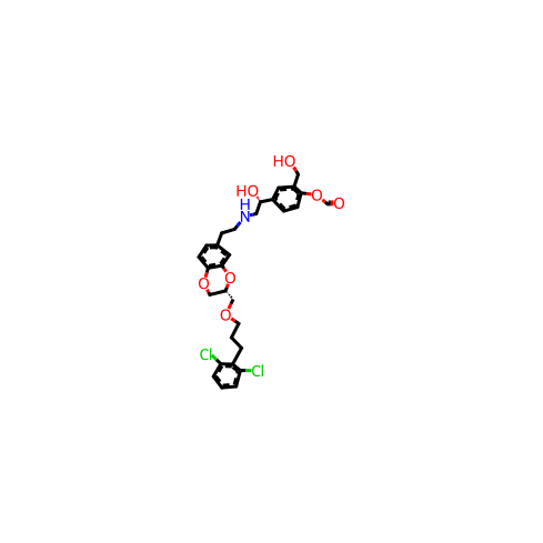 O=COc1ccc([C@@H](O)CNCCc2ccc3c(c2)O[C@H](COCCCc2c(Cl)cccc2Cl)CO3)cc1CO